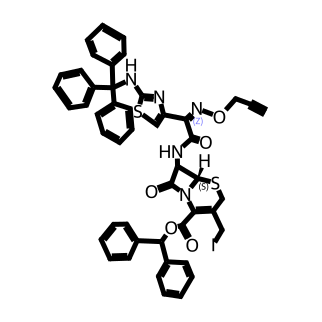 C#CCO/N=C(\C(=O)NC1C(=O)N2C(C(=O)OC(c3ccccc3)c3ccccc3)=C(CI)CS[C@@H]12)c1csc(NC(c2ccccc2)(c2ccccc2)c2ccccc2)n1